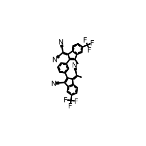 CC1=C(c2cccc(C3=C(C#N)c4cc(C(F)(F)F)ccc4/C3=C(\C)C#N)c2)C(=C(C#N)C#N)c2ccc(C(F)(F)F)cc21